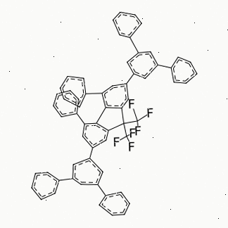 FC(F)(F)C1(C(F)(F)F)c2cc(-c3cc(-c4ccccc4)cc(-c4ccccc4)c3)cc(-c3ccccc3)c2-c2c(-c3ccccc3)cc(-c3cc(-c4ccccc4)cc(-c4ccccc4)c3)cc21